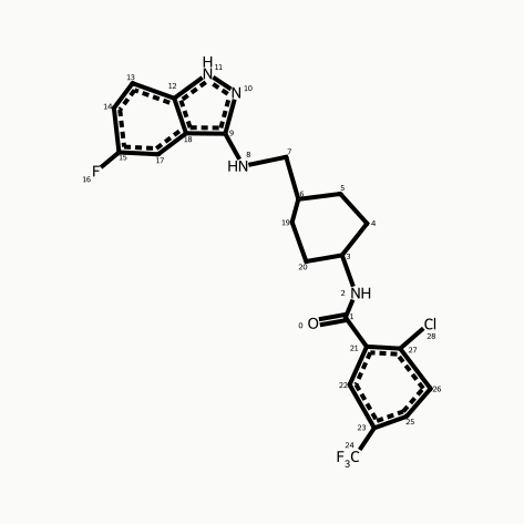 O=C(NC1CCC(CNc2n[nH]c3ccc(F)cc23)CC1)c1cc(C(F)(F)F)ccc1Cl